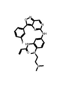 C=CC(=O)Nc1cc(Nc2ncc3noc(-c4cccc(F)c4)c3n2)ccc1N(C)CCN(C)C